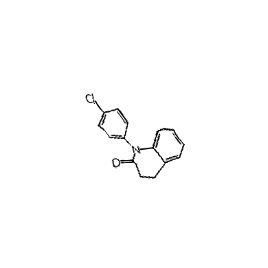 O=C1CCc2ccccc2N1c1ccc(Cl)cc1